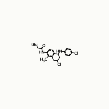 Cc1c(NC(=O)CC(C)(C)C)ccc2c1CC(Cl)CC2Nc1ccc(Cl)cc1